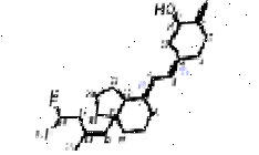 C=C1CC/C(=C/C=C2\CCCC3(CC(C)CC(F)F)CCCC23)CC1O